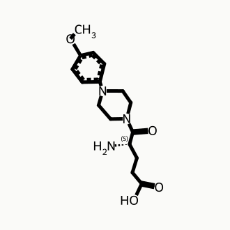 COc1ccc(N2CCN(C(=O)[C@@H](N)CCC(=O)O)CC2)cc1